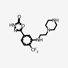 O=c1[nH]nc(-c2ccc(C(F)(F)F)c(NCCN3CCNCC3)c2)o1